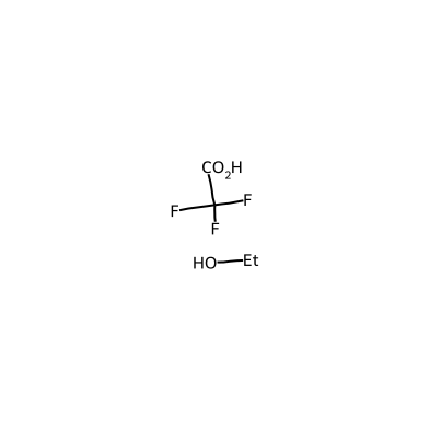 CCO.O=C(O)C(F)(F)F